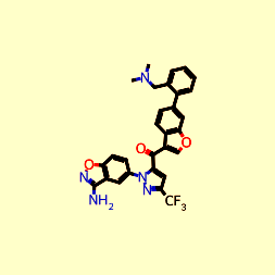 CN(C)Cc1ccccc1-c1ccc2c(C(=O)c3cc(C(F)(F)F)nn3-c3ccc4onc(N)c4c3)coc2c1